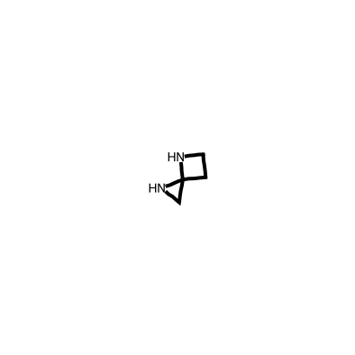 C1CC2(CN2)N1